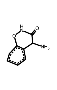 NC1C(=O)NOc2ccccc21